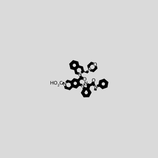 CN(C(=O)c1nn(-c2cc3c(cc2C(=O)N2Cc4ccccc4C[C@H]2CN2CCOCC2)CN(C(=O)O)CC3)c2ccccc12)c1ccccc1